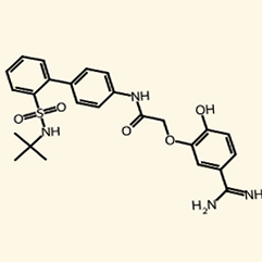 CC(C)(C)NS(=O)(=O)c1ccccc1-c1ccc(NC(=O)COc2cc(C(=N)N)ccc2O)cc1